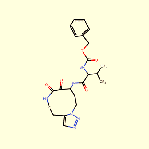 CC(C)C(NC(=O)OCc1ccccc1)C(=O)NC1CCn2nncc2CCNC(=O)C1=O